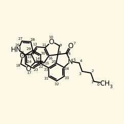 CCCCCN1C(=O)C2(COc3cc4c(cc32)OCO4)c2c(-c3ccc4[nH]ccc4c3)cccc21